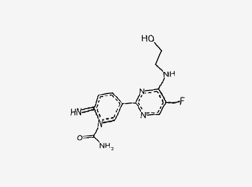 N=c1ccc(-c2ncc(F)c(NCCO)n2)cn1C(N)=O